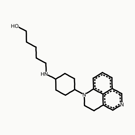 OCCCCCNC1CCC(N2CCc3cncc4cccc2c34)CC1